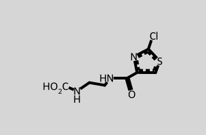 O=C(O)NCCNC(=O)c1csc(Cl)n1